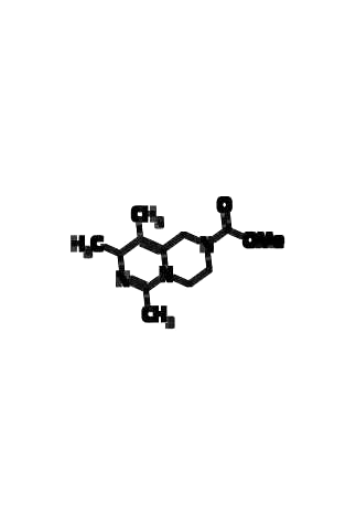 COC(=O)N1CCN2C(C)=NC(C)C(C)=C2C1